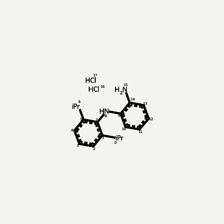 CC(C)c1cccc(C(C)C)c1Nc1ccccc1N.Cl.Cl